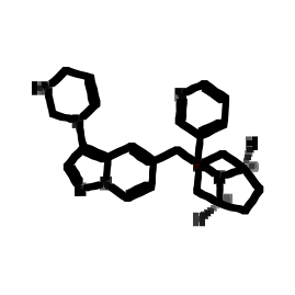 C1=CN(c2cnn3ccc(CN4C[C@H]5CC[C@@H](C4)N5Cc4cccnc4)cc23)CNC1